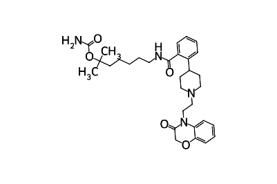 CC(C)(CCCCCNC(=O)c1ccccc1C1CCN(CCN2C(=O)COc3ccccc32)CC1)OC(N)=O